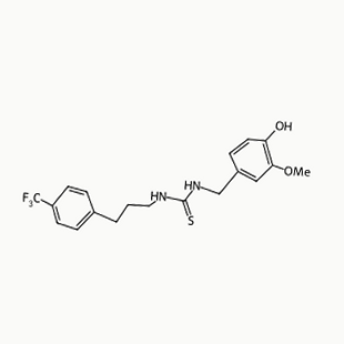 COc1cc(CNC(=S)NCCCc2ccc(C(F)(F)F)cc2)ccc1O